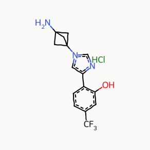 Cl.NC12CC(n3cnc(-c4ccc(C(F)(F)F)cc4O)c3)(C1)C2